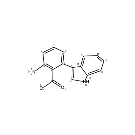 CCC(=O)c1c(N)cccc1-c1c[nH]c2ccccc12